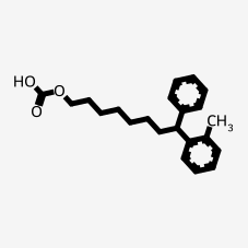 Cc1ccccc1C(CCCCCCCOC(=O)O)c1ccccc1